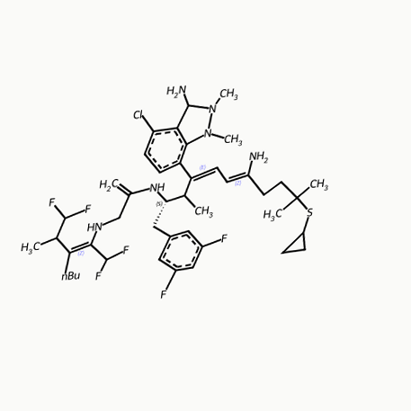 C=C(CN/C(=C(/CCCC)C(C)C(F)F)C(F)F)N[C@@H](Cc1cc(F)cc(F)c1)C(C)/C(=C\C=C(/N)CCC(C)(C)SC1CC1)c1ccc(Cl)c2c1N(C)N(C)C2N